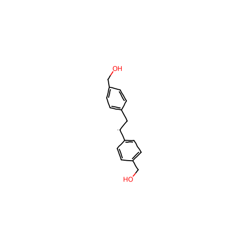 OCc1ccc([CH]Cc2ccc(CO)cc2)cc1